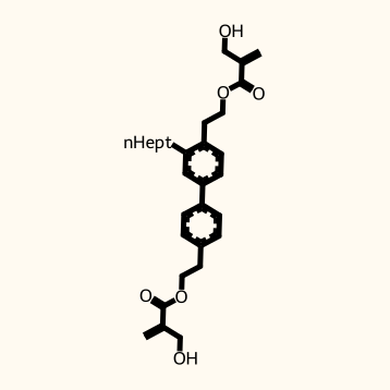 C=C(CO)C(=O)OCCc1ccc(-c2ccc(CCOC(=O)C(=C)CO)c(CCCCCCC)c2)cc1